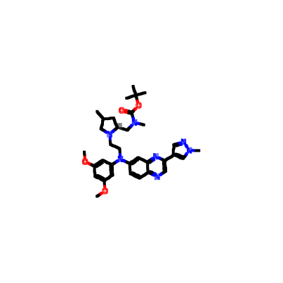 COc1cc(OC)cc(N(CCN2CC(C)C[C@H]2CN(C)C(=O)OC(C)(C)C)c2ccc3ncc(-c4cnn(C)c4)nc3c2)c1